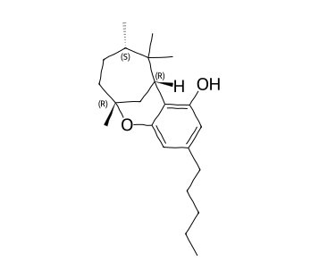 CCCCCc1cc(O)c2c(c1)O[C@]1(C)CC[C@H](C)C(C)(C)[C@H]2C1